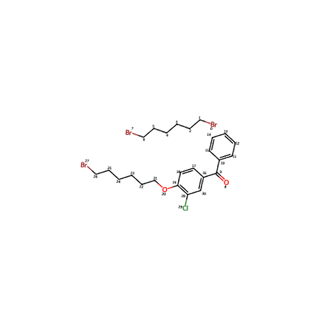 BrCCCCCCBr.O=C(c1ccccc1)c1ccc(OCCCCCCBr)c(Cl)c1